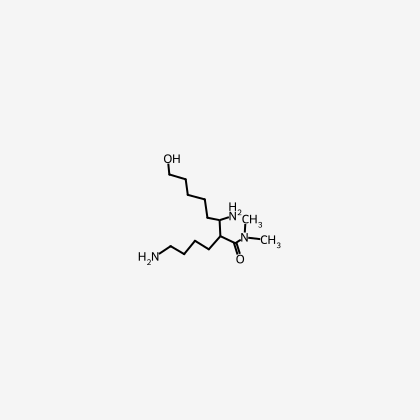 CN(C)C(=O)C(CCCCN)C(N)CCCCCO